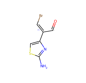 Nc1nc(/C([C]=O)=C/Br)cs1